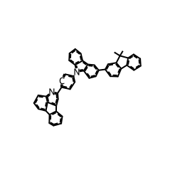 CC1(C)c2ccccc2-c2ccc(-c3ccc4c(c3)c3ccccc3n4-c3ccc(-c4cc5c6c(cccc6n4)-c4ccccc4-5)cc3)cc21